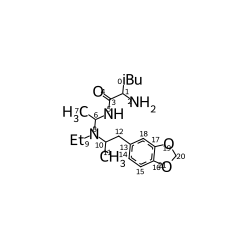 CCC(C)C(N)C(=O)NC(C)N(CC)C(C)Cc1ccc2c(c1)OCO2